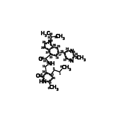 CCCc1cc(C)[nH]c(=O)c1CNC(=O)c1cc(-c2cnc(C)nc2)cc2c1ccn2C(C)C